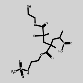 CCC(C)(CC(C)(CC(C)S(=O)O)C(=O)OCCNS(=O)(=O)C(F)(F)F)C(=O)OCCO